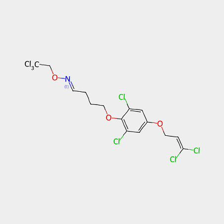 ClC(Cl)=CCOc1cc(Cl)c(OCCC/C=N/OCC(Cl)(Cl)Cl)c(Cl)c1